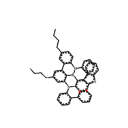 CCCCc1ccc2c(c1)-c1cc(CCCC)cc3c1B(c1c(ccc4sc5ccccc5c14)N3c1ccccc1-c1ccccc1)N2c1ccccc1